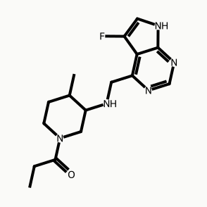 CCC(=O)N1CCC(C)C(NCc2ncnc3[nH]cc(F)c23)C1